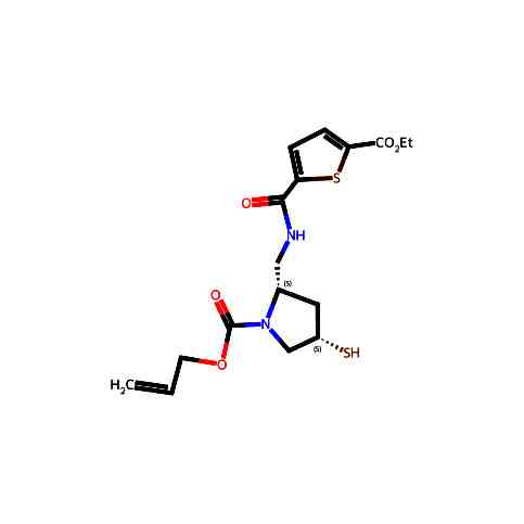 C=CCOC(=O)N1C[C@@H](S)C[C@H]1CNC(=O)c1ccc(C(=O)OCC)s1